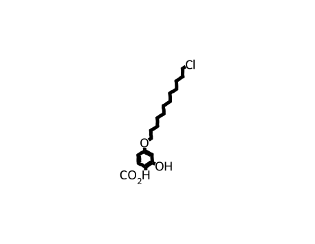 O=C(O)c1ccc(OCCCCCCCCCCCCCl)cc1O